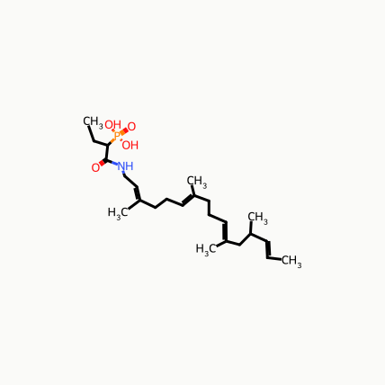 CC=CC(C)CC(C)=CCCC(C)=CCCC(C)=CCNC(=O)C(CC)P(=O)(O)O